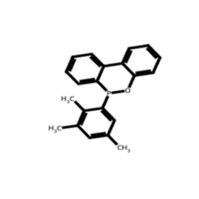 Cc1cc(C)c(C)c(P2Oc3ccccc3-c3ccccc32)c1